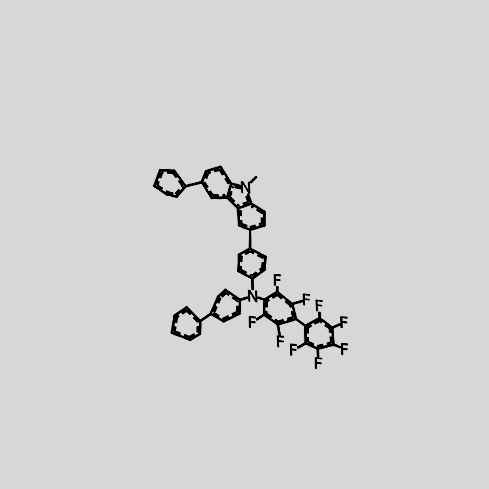 Cn1c2ccc(-c3ccccc3)cc2c2cc(-c3ccc(N(c4ccc(-c5ccccc5)cc4)c4c(F)c(F)c(-c5c(F)c(F)c(F)c(F)c5F)c(F)c4F)cc3)ccc21